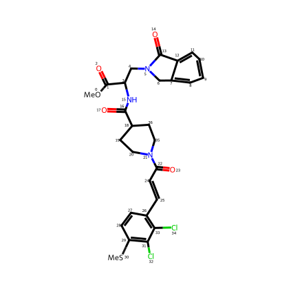 COC(=O)C(CN1Cc2ccccc2C1=O)NC(=O)C1CCN(C(=O)C=Cc2ccc(SC)c(Cl)c2Cl)CC1